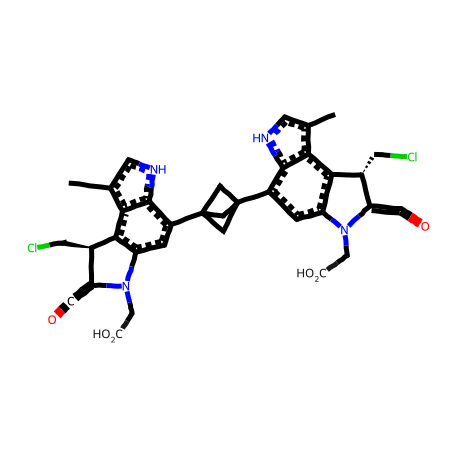 Cc1c[nH]c2c(C34CC(c5cc6c(c7c(C)c[nH]c57)[C@H](CCl)C(=C=O)N6CC(=O)O)(C3)C4)cc3c(c12)[C@H](CCl)C(=C=O)N3CC(=O)O